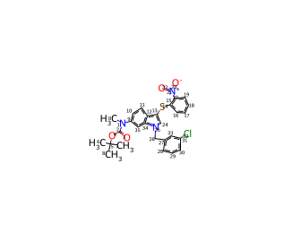 CN(C(=O)OC(C)(C)C)c1ccc2c(Sc3ccccc3[N+](=O)[O-])cn(Cc3cccc(Cl)c3)c2c1